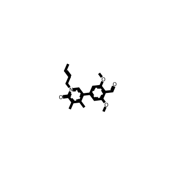 C/C=C/Cn1cc(-c2cc(OC)c(C=O)c(OC)c2)c(C)c(C)c1=O